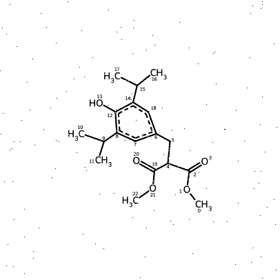 COC(=O)C(Cc1cc(C(C)C)c(O)c(C(C)C)c1)C(=O)OC